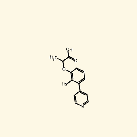 CC(Oc1cccc(-c2ccncc2)c1S)C(=O)O